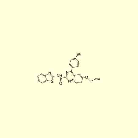 C#CCOc1ccc2nc(C(=O)Nc3nc4ccccc4s3)nc(-c3ccc(C(C)C)cc3)c2c1